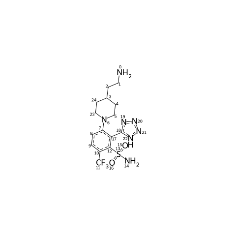 NCCC1CCN(c2ccc(C(F)(F)F)c(S(N)(=O)=O)c2-c2nnn[nH]2)CC1